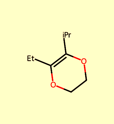 CCC1=C(C(C)C)OCCO1